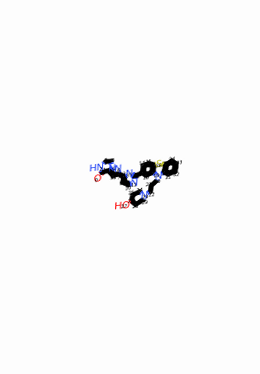 O=C1NCCn2nc(-c3ccnc(-c4ccc5c(c4)N(CCCN4CCC(O)CC4)c4ccccc4S5)n3)cc21